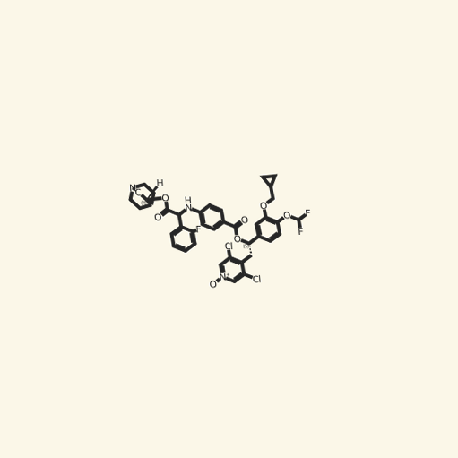 O=C(O[C@@H](Cc1c(Cl)c[n+]([O-])cc1Cl)c1ccc(OC(F)F)c(OCC2CC2)c1)c1ccc(NC(C(=O)O[C@H]2CN3CCC2CC3)c2ccccc2F)cc1